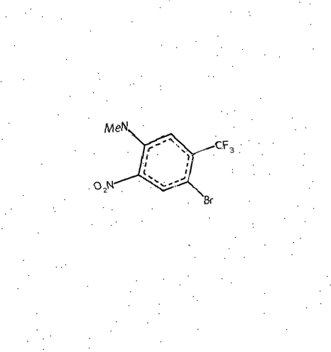 CNc1cc(C(F)(F)F)c(Br)cc1[N+](=O)[O-]